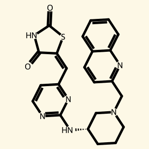 O=C1NC(=O)C(=Cc2ccnc(N[C@H]3CCCN(Cc4ccc5ccccc5n4)C3)n2)S1